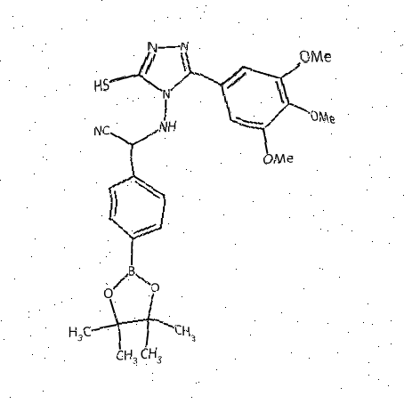 COc1cc(-c2nnc(S)n2NC(C#N)c2ccc(B3OC(C)(C)C(C)(C)O3)cc2)cc(OC)c1OC